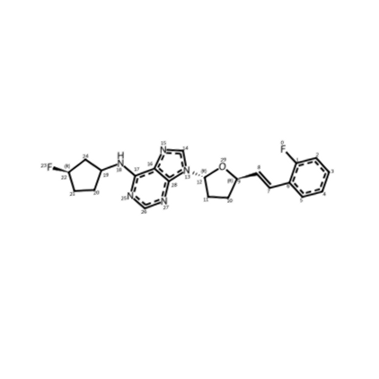 Fc1ccccc1C=C[C@H]1CC[C@H](n2cnc3c(NC4CC[C@@H](F)C4)ncnc32)O1